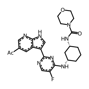 CC(=O)c1cnc2[nH]cc(-c3ncc(F)c(N[C@H]4CCC[C@@H](NC(=O)N5CCOCC5)C4)n3)c2c1